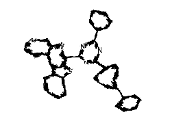 c1ccc(-c2ccc(-c3nc(-c4ccccc4)nc(-c4nc5cnccc5c5c4sc4ccccc45)n3)cc2)cc1